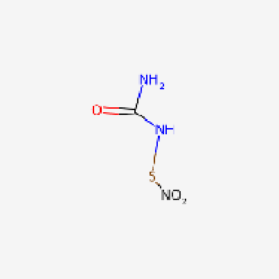 NC(=O)NS[N+](=O)[O-]